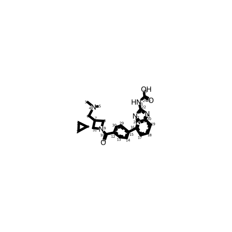 C1CC1.CN(C)CC1CN(C(=O)c2ccc(-c3cccc4nc(NC(=O)O)nn34)cc2)C1